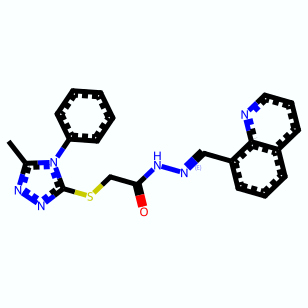 Cc1nnc(SCC(=O)N/N=C/c2cccc3cccnc23)n1-c1ccccc1